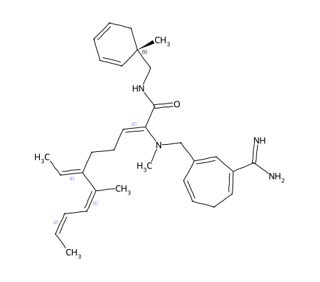 C\C=C/C=C(C)\C(=C\C)CC/C=C(/C(=O)NC[C@]1(C)C=CC=CC1)N(C)CC1=CC(C(=N)N)=CCC=C1